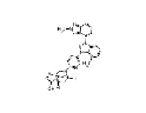 Cc1cccc2c(-c3cccc4nn(C)cc34)nn(-c3ccc(N4C[C@H]5CC[C@@H]4C[C@@H]5C(=O)O)nc3)c12